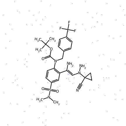 CN(C)S(=O)(=O)c1ccc(N(Cc2ccc(C(F)(F)F)cc2)C(=O)OC(C)(C)C)c(/C(N)=C/N(N)C2(C#N)CC2)c1